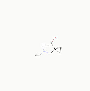 CC(C)(C)N(CC1(CO)CC1)C(=O)O